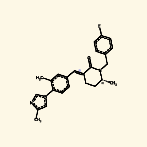 Cc1cn(-c2ccc(/C=C3\CC[C@@H](C)N(Cc4ccc(F)cc4)C3=O)cc2C)cn1